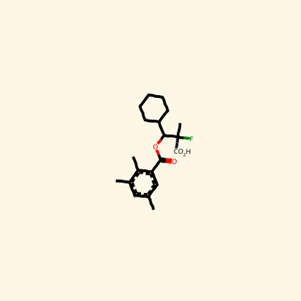 Cc1cc(C)c(C)c(C(=O)OC(C2CCCCC2)C(C)(F)C(=O)O)c1